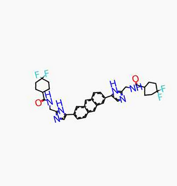 O=C(NCc1ncc(-c2ccc3cc4cc(-c5cnc(CNC(=O)C6CCC(F)(F)CC6)[nH]5)ccc4cc3c2)[nH]1)C1CCC(F)(F)CC1